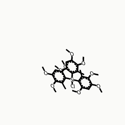 COc1cc(OC)c([Si](Cl)(c2c(OC)cc(OC)c(OC)c2C)c2c(OC)cc(OC)c(OC)c2C)c(C)c1OC